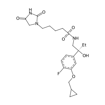 CC[C@@](O)(CNS(=O)(=O)CCCCN1CC(=O)NC1=O)c1ccc(F)c(OCC2CC2)c1